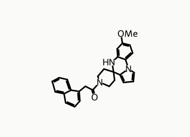 COc1ccc2c(c1)NC1(CCN(C(=O)Cc3cccc4ccccc34)CC1)c1cccn1-2